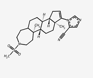 C[C@]12CCN(S(C)(=O)=O)CCC1CC[C@@H]1[C@@H]2CC[C@]2(C)C(n3cncc3C#N)=CC[C@@H]12